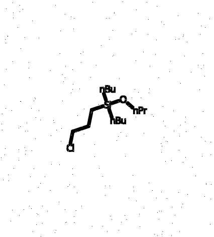 CCCC[Si](CCCC)(CCCCl)OCCC